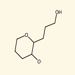 [O]C1CCCOC1CCCO